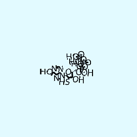 CC1(O)N=CN=C2C1=NCN2[C@@H]1O[C@H](COP(=O)(O)OP(=O)(O)OP(=O)(O)O)[C@@H](O)[C@H]1S